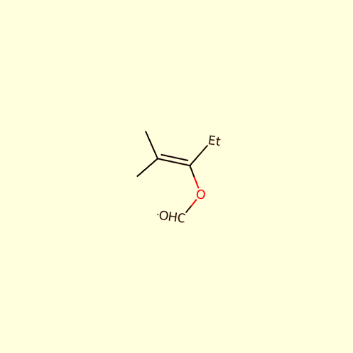 CCC(O[C]=O)=C(C)C